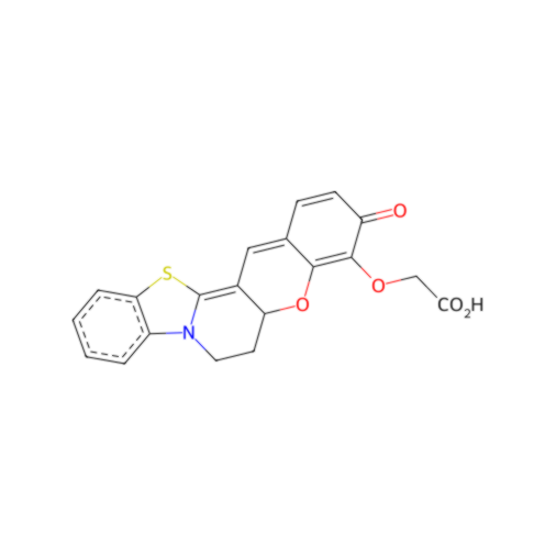 O=C(O)COC1=C2OC3CCN4C(=C3C=C2C=CC1=O)Sc1ccccc14